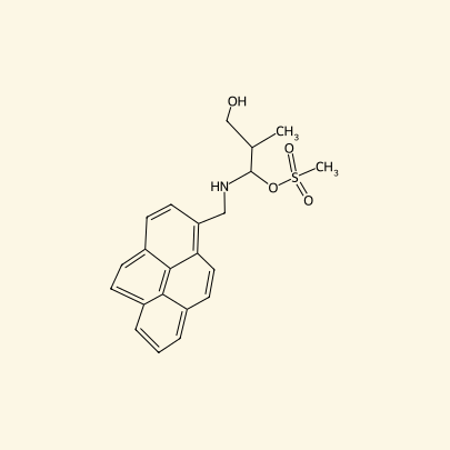 CC(CO)C(NCc1ccc2ccc3cccc4ccc1c2c34)OS(C)(=O)=O